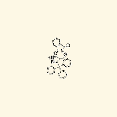 O=C1c2ccccc2C(=O)N1OCc1c[nH]nc1C(c1ccccc1)(c1ccccc1)c1ccccc1